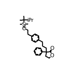 CC(C)C(C)(C)[Si](C)(C)OCCc1ccc(CCCC2(c3ccccc3)CCOC2=O)cc1